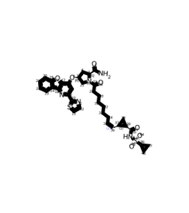 NC(=O)[C@@H]1C[C@@H](Oc2cc(-c3nccs3)nc3c2oc2ccccc23)CN1C(=O)CCCCCC/C=C\[C@@H]1C[C@@H]1C(=O)NS(=O)(=O)C1CC1